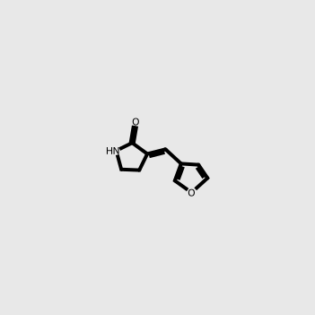 O=C1NCCC1=Cc1ccoc1